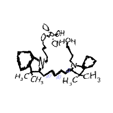 CC1(C)C(/C=C/C=C/C=C2\N(CCCO)c3ccccc3C2(C)C)=[N+](CCCOP(=O)(O)O)c2ccccc21